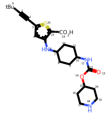 CC(C)(C)C#Cc1cc(NC2CCC(NC(=O)OC3CCNCC3)CC2)c(C(=O)O)s1